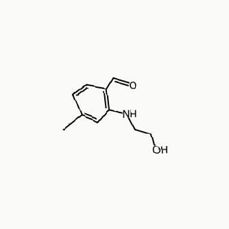 Cc1ccc(C=O)c(NCCO)c1